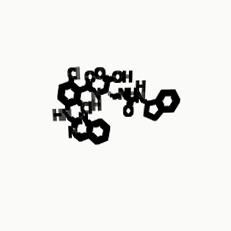 O=C(NC[C@H](NC(=O)c1c(Cl)ccc(Nc2ncc3ccccc3n2)c1Cl)C(=O)O)N[C@@H]1CCc2ccccc21